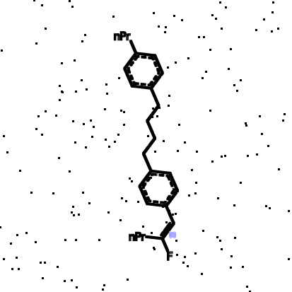 CCC/C(F)=C\c1ccc(CCCCc2ccc(CCC)cc2)cc1